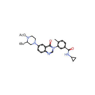 CC(=O)ON1CCN(c2ccc3ncn(-c4cc(C(=O)NC5CC5)ccc4C)c(=O)c3c2)CC1C(C)(C)C